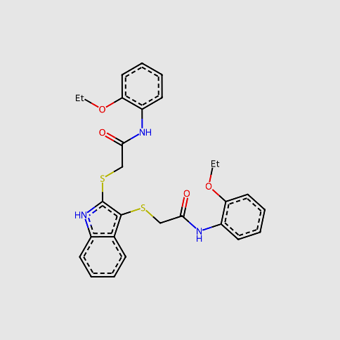 CCOc1ccccc1NC(=O)CSc1[nH]c2ccccc2c1SCC(=O)Nc1ccccc1OCC